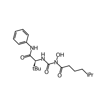 CC(C)CCCC(=O)N(O)C(=O)N[C@H](C(=O)Nc1ccccc1)C(C)(C)C